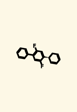 Fc1cc([C@H]2C=CC=CC2)c(F)cc1-c1ccccc1